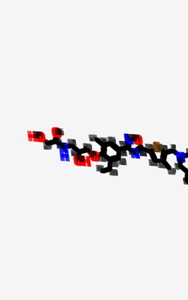 CCCCN(CC)Cc1sc(-c2nc(-c3cc(C)c(OCC(O)CNC(=O)CO)c(CC)c3)no2)cc1C